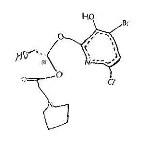 O=C(O[C@H](CO)Oc1nc(Cl)cc(Br)c1O)N1CCCC1